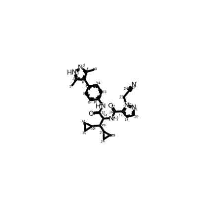 Cc1n[nH]c(C)c1-c1ccc(NC(=O)C(NC(=O)c2ccnn2CC#N)C(C2CC2)C2CC2)cc1